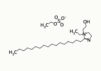 CCCCCCCCCCCCCCCCCC1=NCC[N+]1(CC)CCO.CCOS(=O)(=O)[O-]